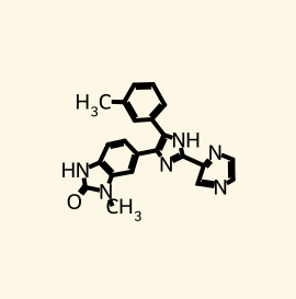 Cc1cccc(-c2[nH]c(-c3cnccn3)nc2-c2ccc3[nH]c(=O)n(C)c3c2)c1